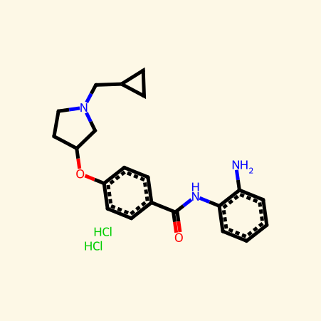 Cl.Cl.Nc1ccccc1NC(=O)c1ccc(OC2CCN(CC3CC3)C2)cc1